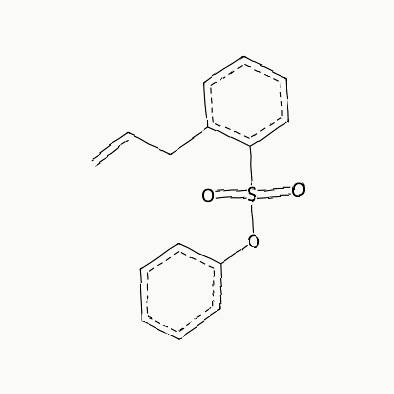 C=CCc1ccccc1S(=O)(=O)Oc1ccccc1